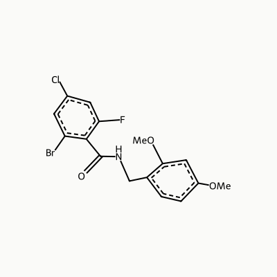 COc1ccc(CNC(=O)c2c(F)cc(Cl)cc2Br)c(OC)c1